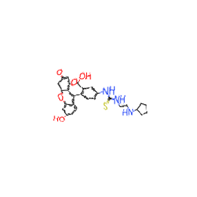 O=C(O)c1cc(NC(=S)NCCNC2CCCC2)ccc1-c1c2ccc(=O)cc-2oc2cc(O)ccc12